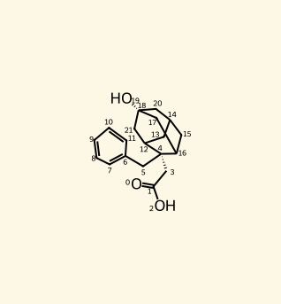 O=C(O)C[C@]1(Cc2ccccc2)C2CC3CC1C[C@](O)(C3)C2